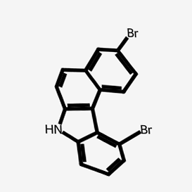 Brc1ccc2c(ccc3[nH]c4cccc(Br)c4c32)c1